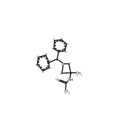 CC1(NC(=O)C(F)(F)F)CN(C(c2ccccc2)c2ccccc2)C1